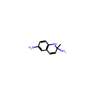 CC1(N)C=Cc2cc(N)ccc2N1